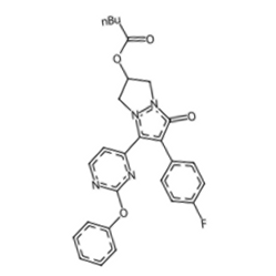 CCCCC(=O)OC1Cn2c(-c3ccnc(Oc4ccccc4)n3)c(-c3ccc(F)cc3)c(=O)n2C1